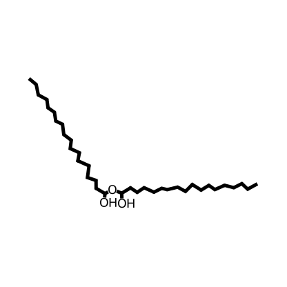 CCCCCCCCCCCCCCCCCC(O)OC(O)CCCCCCCCCCCCCCCCC